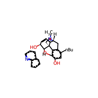 CCCCc1cc(O)c2c3c1C[C@@H]1[C@@H]4C=C[C@H](O)[C@H](O2)[C@]34CCN1C.c1ccc2ncccc2c1